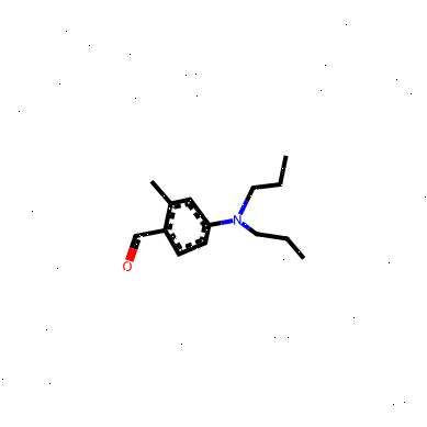 CCCN(CCC)c1ccc(C=O)c(C)c1